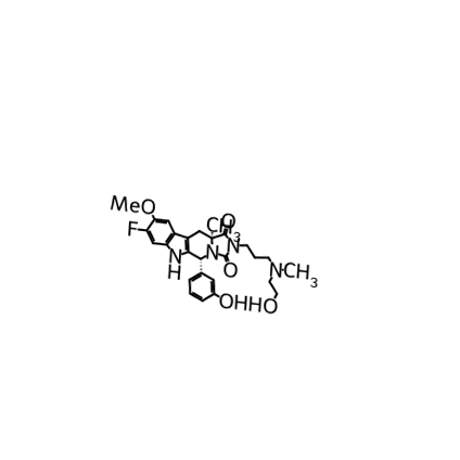 COc1cc2c3c([nH]c2cc1F)[C@@H](c1cccc(O)c1)N1C(=O)N(CCCN(C)CCO)C(=O)[C@]1(C)C3